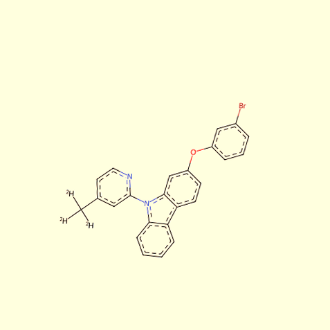 [2H]C([2H])([2H])c1ccnc(-n2c3ccccc3c3ccc(Oc4cccc(Br)c4)cc32)c1